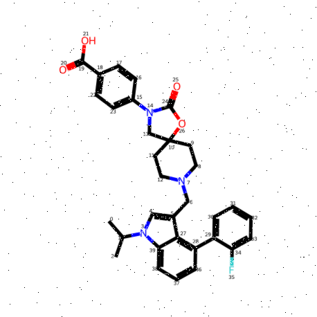 CC(C)n1cc(CN2CCC3(CC2)CN(c2ccc(C(=O)O)cc2)C(=O)O3)c2c(-c3ccccc3F)cccc21